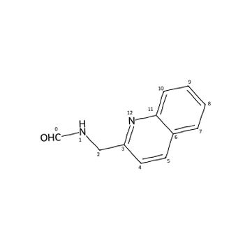 O=CNCc1ccc2ccccc2n1